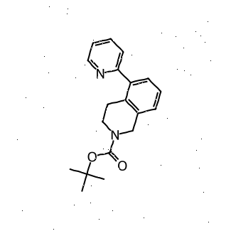 CC(C)(C)OC(=O)N1CCc2c(cccc2-c2ccccn2)C1